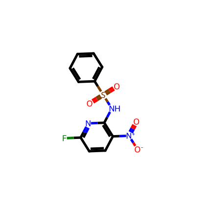 O=[N+]([O-])c1ccc(F)nc1NS(=O)(=O)c1ccccc1